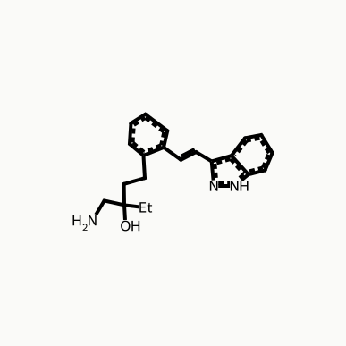 CCC(O)(CN)CCc1ccccc1C=Cc1n[nH]c2ccccc12